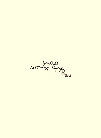 CC(=O)OCCN1C(C)(C)CC(OC(=O)OC(C)CC(C)(C)OOC(C)(C)C)CC1(C)C